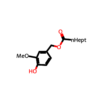 CCCCCCCC(=O)OCc1ccc(O)c(OC)c1